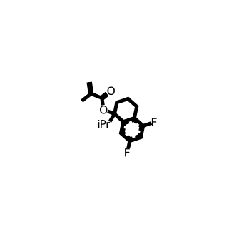 C=C(C)C(=O)OC1(C(C)C)CCCc2c(F)cc(F)cc21